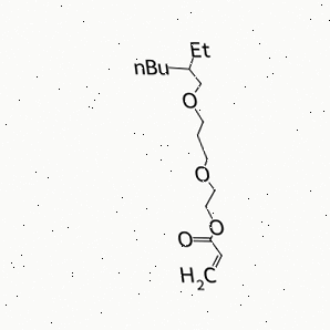 C=CC(=O)OCCOCCCOCC(CC)CCCC